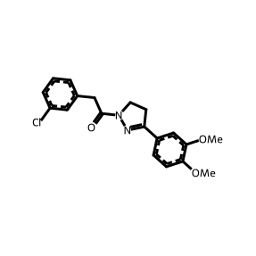 COc1ccc(C2=NN(C(=O)Cc3cccc(Cl)c3)CC2)cc1OC